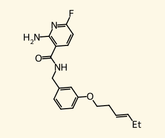 CCC=CCCOc1cccc(CNC(=O)c2ccc(F)nc2N)c1